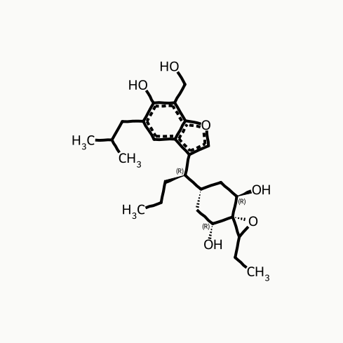 CCC[C@@H](c1coc2c(CO)c(O)c(CC(C)C)cc12)[C@H]1C[C@@H](O)[C@@]2(OC2CC)[C@H](O)C1